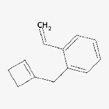 C=Cc1ccccc1CC1=CCC1